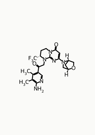 Cc1c(C(=O)CN2c3nc(N4C[C@@H]5C[C@H]4CO5)cc(=O)n3CC[C@H]2C(F)(F)F)cnc(N)c1C